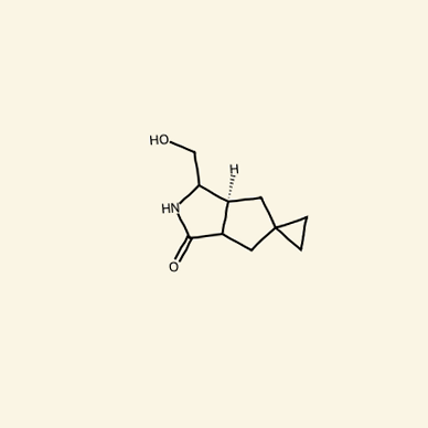 O=C1NC(CO)[C@H]2CC3(CC3)CC12